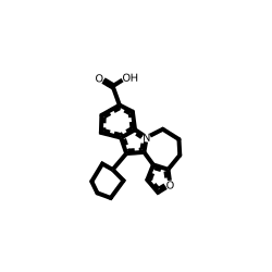 O=C(O)c1ccc2c(C3CCCCC3)c3n(c2c1)CCCc1occc1-3